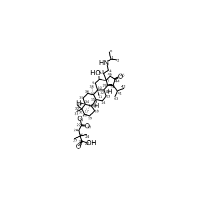 CC(C)NC[C@@H](O)[C@@]12CC[C@]3(C)[C@H](CC[C@@H]4[C@@]5(C)CC[C@H](OC(=O)CC(C)(C)C(=O)O)C(C)(C)[C@@H]5CC[C@]43C)C1=C(C(C)C)C(=O)C2